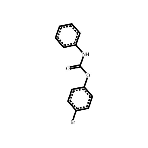 O=C(Nc1ccccc1)Oc1ccc(Br)cc1